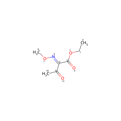 CCOC(=O)C(=NOC)C(C)=O